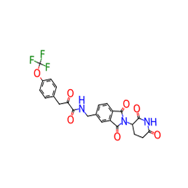 O=C1CCC(N2C(=O)c3ccc(CNC(=O)C(=O)Cc4ccc(OC(F)(F)F)cc4)cc3C2=O)C(=O)N1